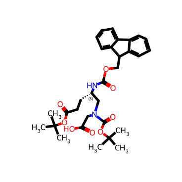 CC(C)(C)OC(=O)CC[C@@H](CN(CC(=O)O)C(=O)OC(C)(C)C)NC(=O)OCC1c2ccccc2-c2ccccc21